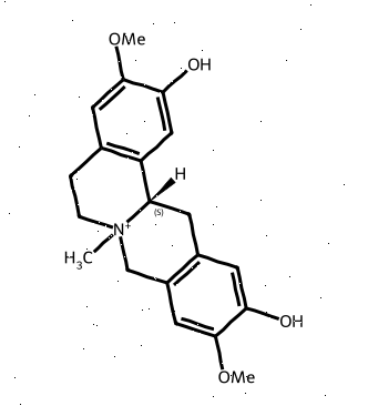 COc1cc2c(cc1O)C[C@H]1c3cc(O)c(OC)cc3CC[N+]1(C)C2